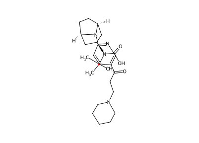 CC(C)(C)N(C(=O)O)[C@H]1C[C@H]2CC[C@@H](C1)N2c1ccc(C(=O)CCN2CCCCC2)cn1